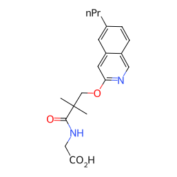 CCCc1ccc2cnc(OCC(C)(C)C(=O)NCC(=O)O)cc2c1